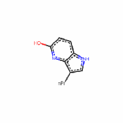 CCCc1c[nH]c2ccc(O)nc12